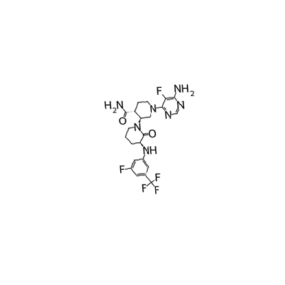 NC(=O)[C@@H]1CCN(c2ncnc(N)c2F)C[C@H]1N1CCC[C@H](Nc2cc(F)cc(C(F)(F)F)c2)C1=O